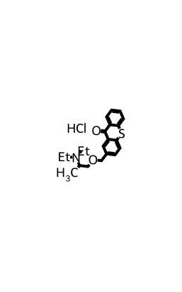 CCN(CC)C(C)COCc1ccc2sc3ccccc3c(=O)c2c1.Cl